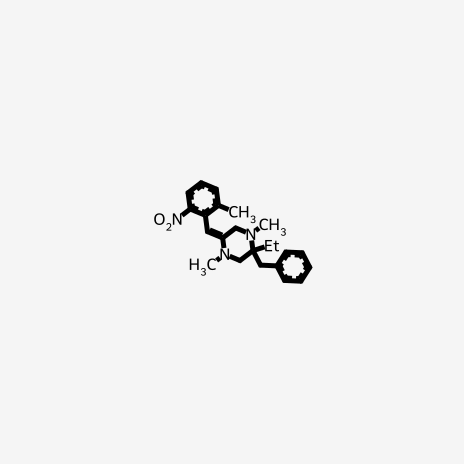 CCC1(Cc2ccccc2)CN(C)C(=Cc2c(C)cccc2[N+](=O)[O-])CN1C